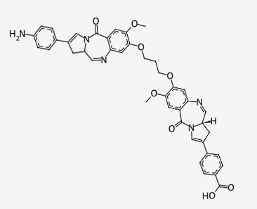 COc1cc2c(cc1OCCCOc1cc3c(cc1OC)C(=O)N1C=C(c4ccc(C(=O)O)cc4)C[C@H]1C=N3)N=CC1CC(c3ccc(N)cc3)=CN1C2=O